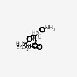 CCOC(=O)c1cc(Cn2c(C(=O)N[C@H]3CC[C@H](N)CC3)cc3ccc(C(=N)N)cc32)c2ccccc2c1